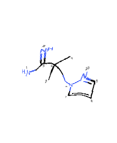 CC(C)(C(=N)N)n1cccn1